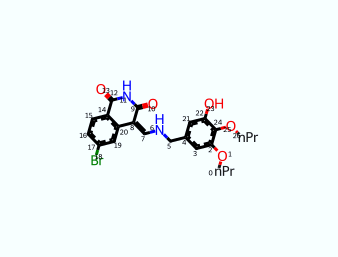 CCCOc1cc(CNC=C2C(=O)NC(=O)c3ccc(Br)cc32)cc(O)c1OCCC